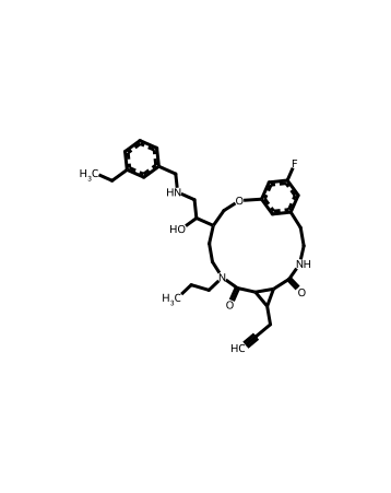 C#CCC1C2C(=O)NCCc3cc(F)cc(c3)OCC(C(O)CNCc3cccc(CC)c3)CCN(CCC)C(=O)C12